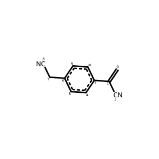 C=C(C#N)c1ccc(CC#N)cc1